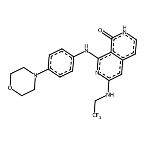 O=c1[nH]ccc2cc(NCC(F)(F)F)nc(Nc3ccc(N4CCOCC4)cc3)c12